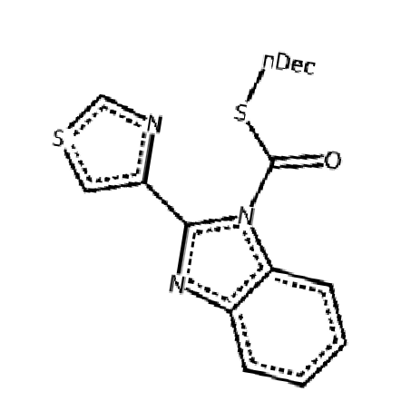 CCCCCCCCCCSC(=O)n1c(-c2cscn2)nc2ccccc21